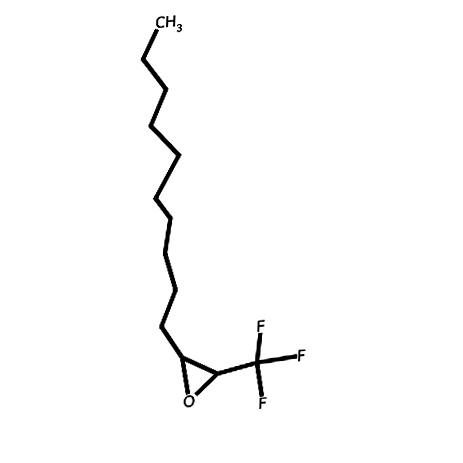 CCCCCCCCCCC1OC1C(F)(F)F